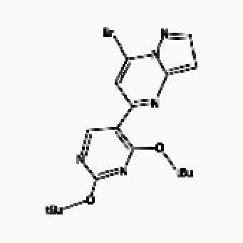 CC(C)(C)Oc1ncc(-c2cc(Br)n3nccc3n2)c(OC(C)(C)C)n1